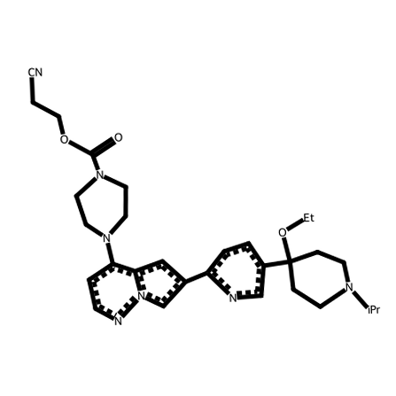 CCOC1(c2ccc(-c3cc4c(N5CCN(C(=O)OCCC#N)CC5)ccnn4c3)nc2)CCN(C(C)C)CC1